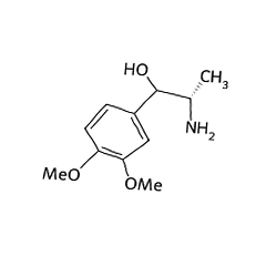 COc1ccc(C(O)[C@H](C)N)cc1OC